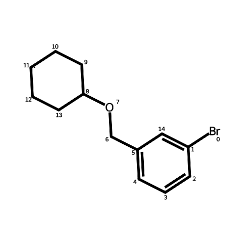 Brc1cccc(COC2CC[CH]CC2)c1